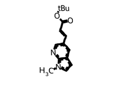 Cn1ccc2cc(/C=C/C(=O)OC(C)(C)C)cnc21